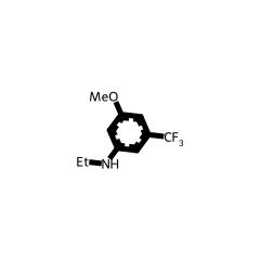 CCNc1cc(OC)cc(C(F)(F)F)c1